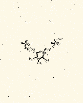 CNC(C)O.NCCN.O.O.O.O.O.O.[O-][Cl+3]([O-])([O-])[O-].[O-][Cl+3]([O-])([O-])[O-].[Zn+2]